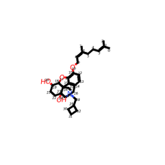 CC(C)=CCCC(C)=CCOc1ccc2c3c1OC1C(O)CCC4(O)C(C2)N(CC2CCC2)CCC314